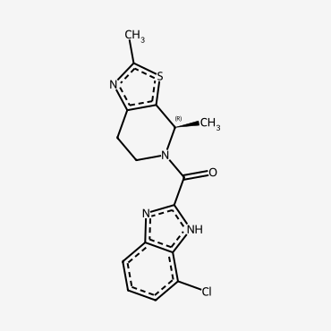 Cc1nc2c(s1)[C@@H](C)N(C(=O)c1nc3cccc(Cl)c3[nH]1)CC2